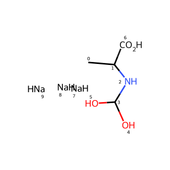 CC(NC(O)O)C(=O)O.[NaH].[NaH].[NaH]